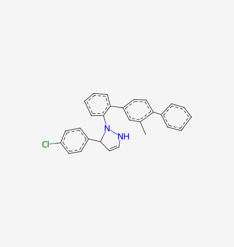 Cc1cc(-c2ccccc2N2NC=CC2c2ccc(Cl)cc2)ccc1-c1ccccc1